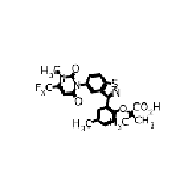 Cc1ccc(OC(C)(C)C(=O)O)c(-c2nsc3ccc(-n4c(=O)cc(C(F)(F)F)n(C)c4=O)cc23)c1